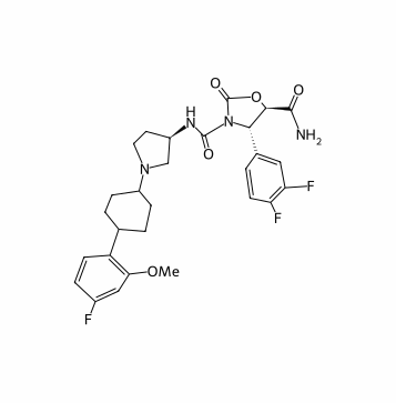 COc1cc(F)ccc1C1CCC(N2CC[C@@H](NC(=O)N3C(=O)O[C@@H](C(N)=O)[C@@H]3c3ccc(F)c(F)c3)C2)CC1